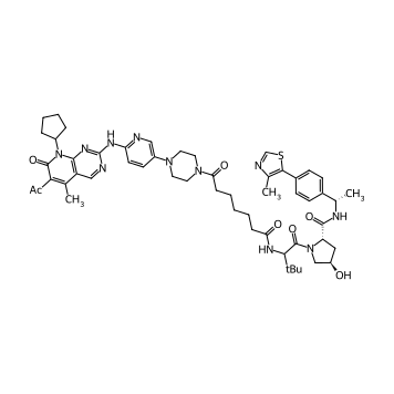 CC(=O)c1c(C)c2cnc(Nc3ccc(N4CCN(C(=O)CCCCCC(=O)NC(C(=O)N5C[C@H](O)C[C@H]5C(=O)N[C@@H](C)c5ccc(-c6scnc6C)cc5)C(C)(C)C)CC4)cn3)nc2n(C2CCCC2)c1=O